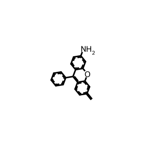 C=c1ccc2c(c1)Oc1cc(N)ccc1C=2c1ccccc1